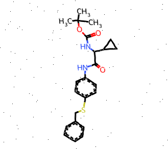 CC(C)(C)OC(=O)NC(C(=O)Nc1ccc(SCc2ccccc2)cc1)C1CC1